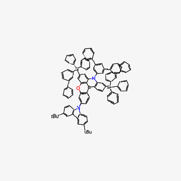 CC(C)(C)c1ccc2c(c1)c1cc(C(C)(C)C)ccc1n2-c1ccc2c(c1)Oc1cc([Si](c3ccccc3)(c3ccccc3)c3cccc(-c4ccccc4)c3)cc3c1B2c1ccc([Si](c2ccccc2)(c2ccccc2)c2cccc(-c4ccccc4)c2)cc1N3c1cc(-c2ccccc2)cc(-c2ccccc2)c1